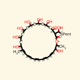 CCCCCC(O)C1C(=O)OC(C)C(O)C=CC=CC=CC=CC=C(C)C(O)CC(O)CC(O)CC(O)CC(O)CC(O)CC1O